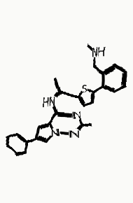 CNCc1ccccc1-c1ccc(C(C)Nc2nc(C)nn3cc(C4=CCCCC4)cc23)s1